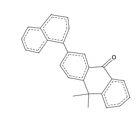 CC1(C)c2ccccc2C(=O)c2cc(-c3cccc4ccccc34)ccc21